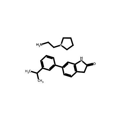 CC(C)c1cccc(-c2ccc3c(c2)NC(=O)C3)c1.NCCN1CCCC1